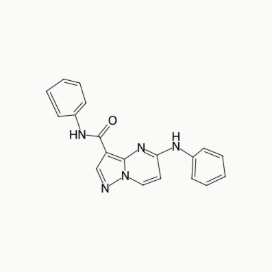 O=C(Nc1ccccc1)c1cnn2ccc(Nc3ccccc3)nc12